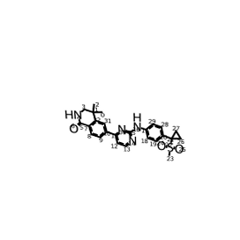 CC1(C)CNC(=O)c2ccc(-c3ccnc(Nc4ccc(C5(S(C)(=O)=O)CC5)cc4)n3)cc21